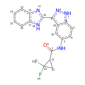 O=C(Nc1ccc2[nH]nc(-c3nc4ccccc4[nH]3)c2c1)C1CC1(F)F